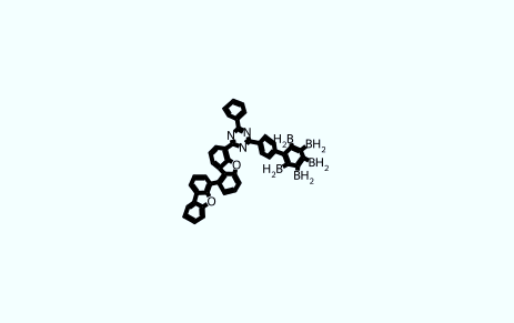 Bc1c(B)c(B)c(-c2ccc(-c3nc(-c4ccccc4)nc(-c4cccc5c4oc4cccc(-c6cccc7c6oc6ccccc67)c45)n3)cc2)c(B)c1B